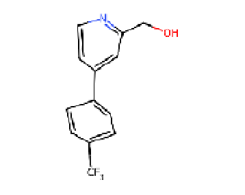 OCc1cc(-c2ccc(C(F)(F)F)cc2)ccn1